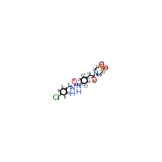 O=C(NCc1ccc(Cl)cc1)Nc1ccc(CC(=O)N2CCS(=O)(=O)CC2)cc1